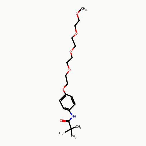 COCCOCCOCCOCCOc1ccc(NC(=O)C(C)(C)C)cc1